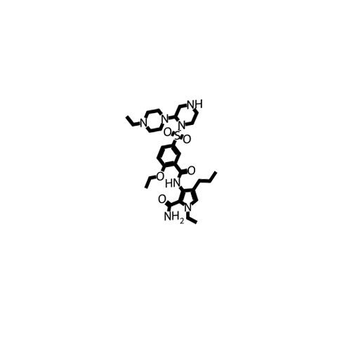 CCCc1cn(CC)c(C(N)=O)c1NC(=O)c1cc(S(=O)(=O)N2CCNCC2N2CCN(CC)CC2)ccc1OCC